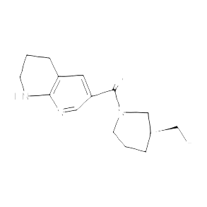 O=C(c1cnc2c(c1)CCCN2)N1CCC[C@H](CF)C1